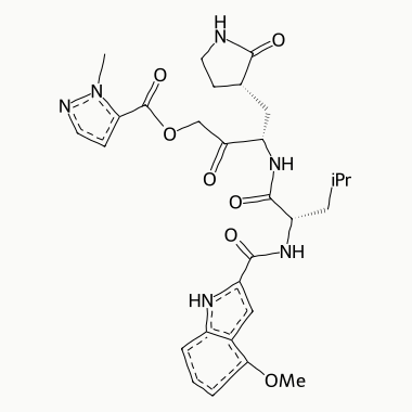 COc1cccc2[nH]c(C(=O)N[C@@H](CC(C)C)C(=O)N[C@@H](C[C@@H]3CCNC3=O)C(=O)COC(=O)c3ccnn3C)cc12